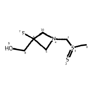 CS(=S)CN1CC(F)(CO)C1